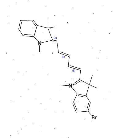 CN1\C(=C/C=C/C=C/C2=[N+](C)c3ccc(Br)cc3C2(C)C)C(C)(C)c2ccccc21